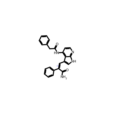 NC(=O)/C(=C\c1c[nH]c2nccc(NC(=O)Cc3ccccc3)c12)c1ccccc1